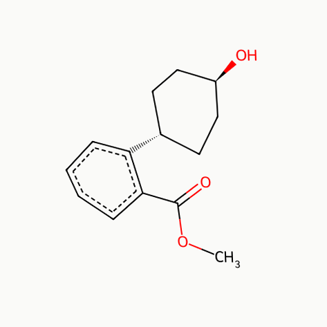 COC(=O)c1ccccc1[C@H]1CC[C@H](O)CC1